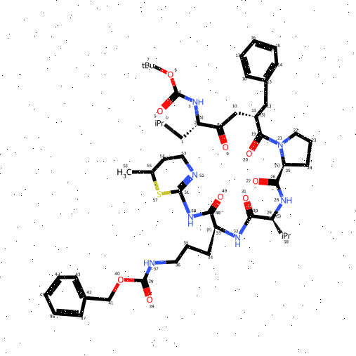 CC(C)C[C@H](NC(=O)OC(C)(C)C)C(=O)C[C@H](Cc1ccccc1)C(=O)N1CCC[C@H]1C(=O)N[C@H](C(=O)N[C@@H](CCCNC(=O)OCc1ccccc1)C(=O)NC1=NCCC(C)S1)C(C)C